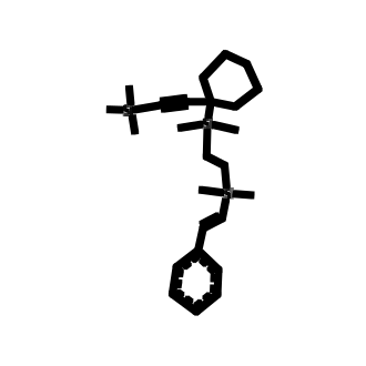 C[Si](C)(C)C#CC1([Si](C)(C)CC[Si](C)(C)/C=C/c2ccccc2)CCCCC1